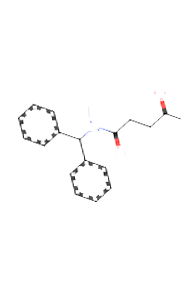 CC(=O)CCC(=O)NC(c1ccccc1)c1ccccc1